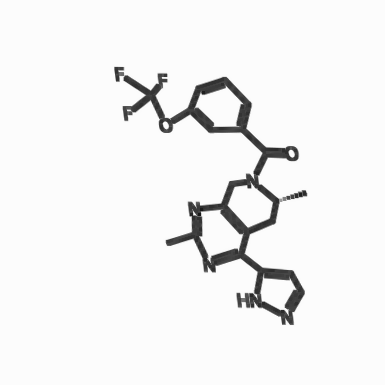 Cc1nc2c(c(-c3ccn[nH]3)n1)C[C@@H](C)N(C(=O)c1cccc(OC(F)(F)F)c1)C2